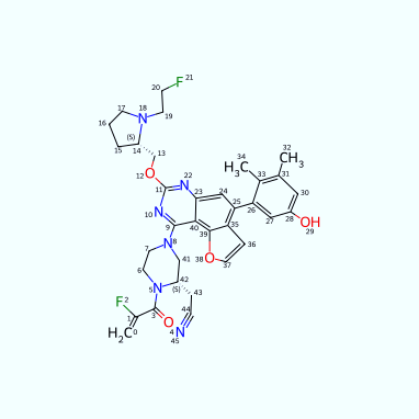 C=C(F)C(=O)N1CCN(c2nc(OC[C@@H]3CCCN3CCF)nc3cc(-c4cc(O)cc(C)c4C)c4ccoc4c23)C[C@@H]1CC#N